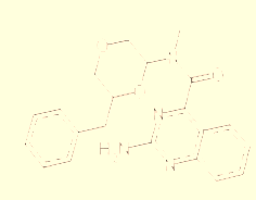 CN(C(=O)c1nc(N)nc2ccccc12)C1COCC(Cc2ccccc2)O1